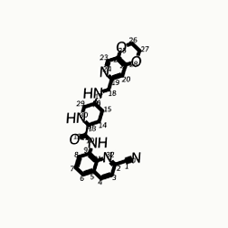 N#Cc1ccc2cccc(NC(=O)[C@@H]3CC[C@@H](NCc4cc5c(cn4)OCCO5)CN3)c2n1